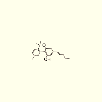 CCCC=Cc1cc(O)c2c(c1)OC(C)(C)c1ccc(C)cc1-2